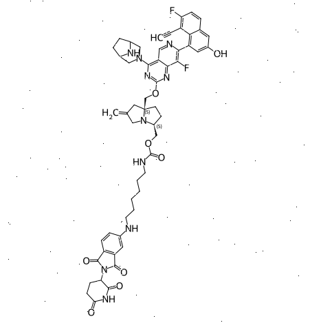 C#Cc1c(F)ccc2cc(O)cc(-c3ncc4c(N5CC6CCC(C5)N6)nc(OC[C@@]56CC[C@@H](COC(=O)NCCCCCCNc7ccc8c(c7)C(=O)N(C7CCC(=O)NC7=O)C8=O)N5CC(=C)C6)nc4c3F)c12